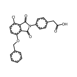 O=C(O)Cc1ccc(N2C(=O)c3c(Cl)ccc(OCc4ccccc4)c3C2=O)cc1